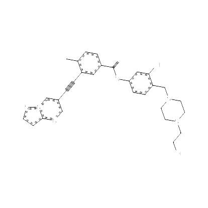 Cc1ccc(C(=O)Nc2ccc(CN3CCN(CCO)CC3)c(C(F)(F)F)c2)cc1C#Cc1cnc2ccnn2c1